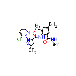 Bc1cc(C)c(NC(=O)C2CC(C(F)(F)F)=NN2c2ncccc2Cl)c(C(=O)NC(C)C)c1